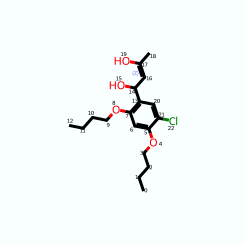 CCCCOc1cc(OCCCC)c(C(O)/C=C(/C)O)cc1Cl